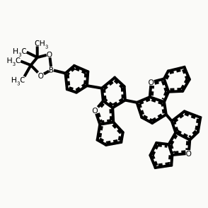 CC1(C)OB(c2ccc(-c3ccc(-c4ccc(-c5cccc6oc7ccccc7c56)c5c4oc4ccccc45)c4c3oc3ccccc34)cc2)OC1(C)C